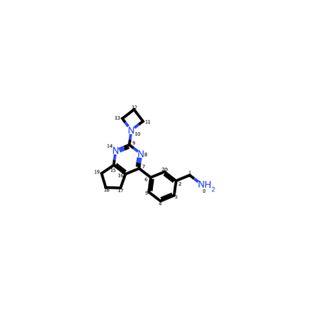 NCc1cccc(-c2nc(N3CCC3)nc3c2CCC3)c1